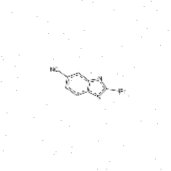 CC(C)c1nc2cc(C#N)ccc2s1